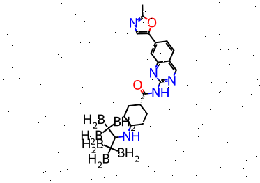 BC(B)(B)C(N[C@H]1CC[C@H](C(=O)Nc2ncc3ccc(-c4cnc(C)o4)cc3n2)CC1)C(B)(B)B